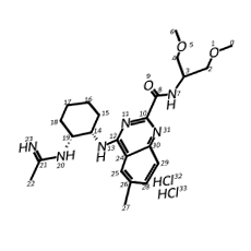 COCC(COC)NC(=O)c1nc(N[C@H]2CCCC[C@H]2NC(C)=N)c2cc(C)ccc2n1.Cl.Cl